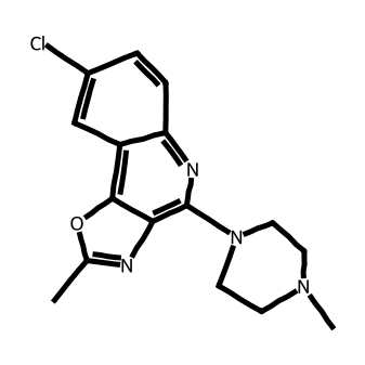 Cc1nc2c(N3CCN(C)CC3)nc3ccc(Cl)cc3c2o1